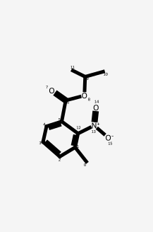 Cc1cccc(C(=O)OC(C)C)c1[N+](=O)[O-]